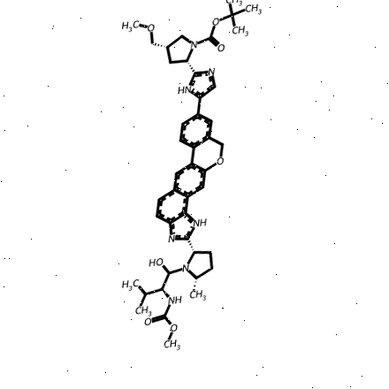 COC[C@H]1C[C@@H](c2ncc(-c3ccc4c(c3)COc3cc5c(ccc6nc([C@@H]7CC[C@H](C)N7C(O)[C@@H](NC(=O)OC)C(C)C)[nH]c65)cc3-4)[nH]2)N(C(=O)OC(C)(C)C)C1